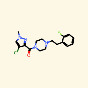 Cn1cc(Cl)c(C(=O)N2CCN(CCc3ccccc3F)CC2)n1